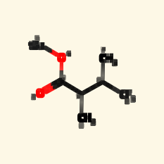 CC(C(=O)OC(C)(C)C)C(C)C(F)(F)F